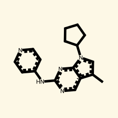 Cc1cn(C2CCCC2)c2nc(Nc3ccncc3)ncc12